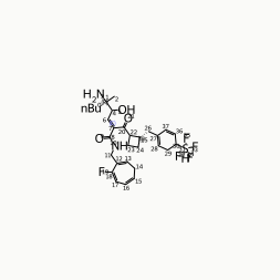 CCCC[C@@](C)(N)C(O)/C=C(/C(=O)NCC1=CCC=CC=C1F)C(=O)C1CC[C@H]1CC1=CCC([SH](F)(F)(F)F)C=C1